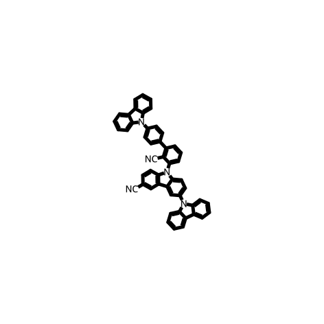 N#Cc1ccc2c(c1)c1cc(-n3c4ccccc4c4ccccc43)ccc1n2-c1cccc(-c2ccc(-n3c4ccccc4c4ccccc43)cc2)c1C#N